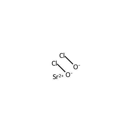 [O-]Cl.[O-]Cl.[Sr+2]